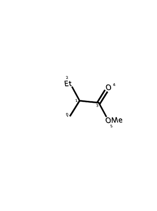 [CH2]C(CC)C(=O)OC